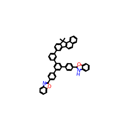 CC1(C)c2ccc(-c3cccc(-c4cc(-c5ccc(-c6nc7ccccc7o6)cc5)cc(-c5ccc(C6Nc7ccccc7O6)cc5)c4)c3)cc2-c2ccc3ccccc3c21